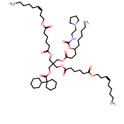 CCCCC/C=C\CCOC(=O)CCCCC(=O)OCC(COC(=O)CCCCC(=O)OCC/C=C\CCCCC)(COC(=O)CCC(CCCCCC)OC(=O)NCCN1CCCC1)COC(=O)C1(C2CCCCC2)CCCCC1